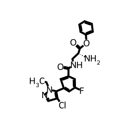 CCn1ncc(Cl)c1-c1cc(F)cc(C(=O)NC[C@@H](N)C(=O)Oc2ccccc2)c1